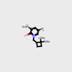 CSC1(SC)CCC1Cn1cc(Br)cc(NC(C)=O)c1=O